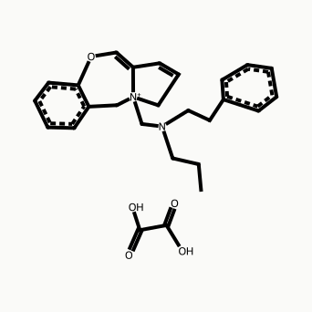 CCCN(CCc1ccccc1)C[N+]12CC=CC1=COc1ccccc1C2.O=C(O)C(=O)O